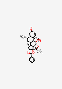 CC(=O)[C@@]1(OC(=O)c2ccccc2)CC[C@H]2C3=C([C@@H](O)C[C@@]21C)[C@@]1(C)C=CC(=O)C=C1[C@@H](C)C3